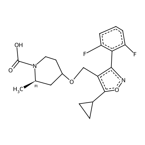 C[C@@H]1CC(OCc2c(-c3c(F)cccc3F)noc2C2CC2)CCN1C(=O)O